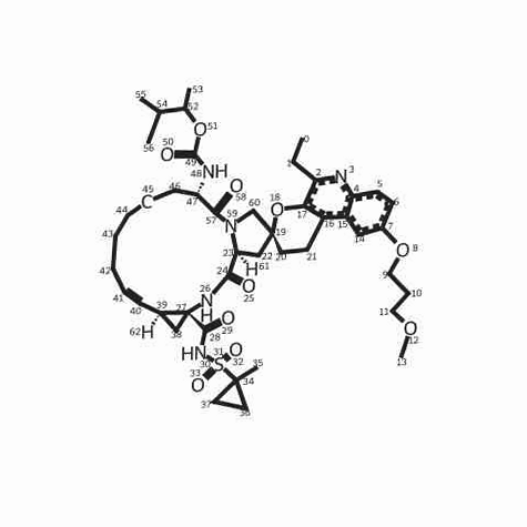 CCc1nc2ccc(OCCCOC)cc2c2c1O[C@]1(CC2)C[C@H]2C(=O)N[C@]3(C(=O)NS(=O)(=O)C4(C)CC4)C[C@H]3/C=C\CCCCC[C@H](NC(=O)OC(C)C(C)C)C(=O)N2C1